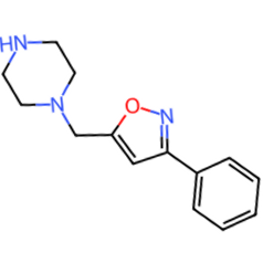 c1ccc(-c2cc(CN3CCNCC3)on2)cc1